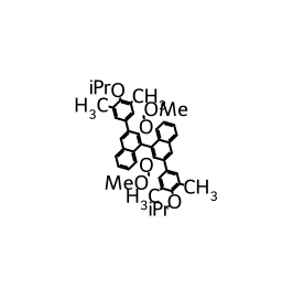 COCOc1c(-c2cc(C)c(OC(C)C)c(C)c2)cc2ccccc2c1-c1c(OCOC)c(-c2cc(C)c(OC(C)C)c(C)c2)cc2ccccc12